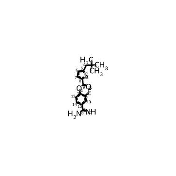 CC(C)(C)Cc1ccc(C(=O)Oc2ccc(C(=N)N)cc2F)s1